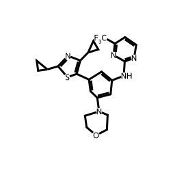 FC(F)(F)c1ccnc(Nc2cc(-c3sc(C4CC4)nc3C3CC3)cc(N3CCOCC3)c2)n1